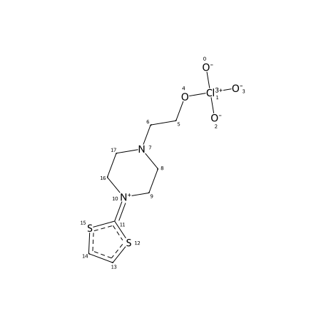 [O-][Cl+3]([O-])([O-])OCCN1CC[N+](=c2sccs2)CC1